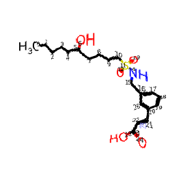 CCCCCC(O)CCCCS(=O)(=O)NCc1cccc(/C=C/C(=O)O)c1